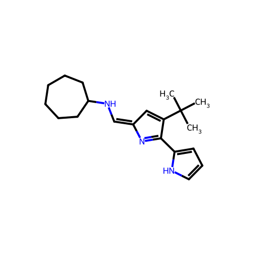 CC(C)(C)C1=C/C(=C\NC2CCCCCC2)N=C1c1ccc[nH]1